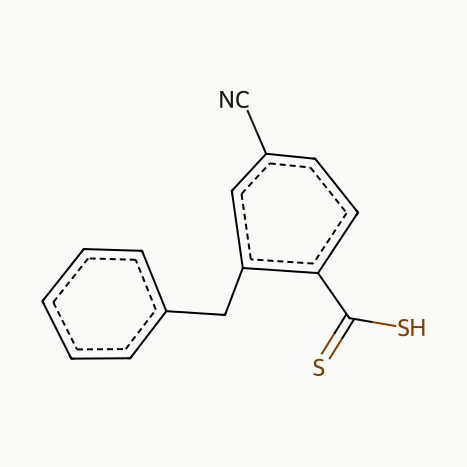 N#Cc1ccc(C(=S)S)c(Cc2ccccc2)c1